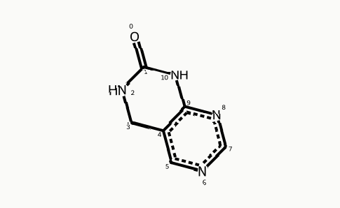 O=C1N[CH]c2cncnc2N1